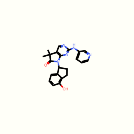 CC1(C)C(=O)N(C2CCc3c(O)cccc32)c2nc(Nc3cccnc3)ncc21